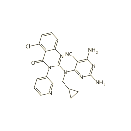 N#Cc1c(N)nc(N)nc1N(CC1CC1)c1nc2cccc(Cl)c2c(=O)n1-c1cccnc1